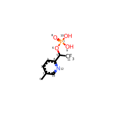 Cc1ccc(C(OP(=O)(O)O)C(F)(F)F)nc1